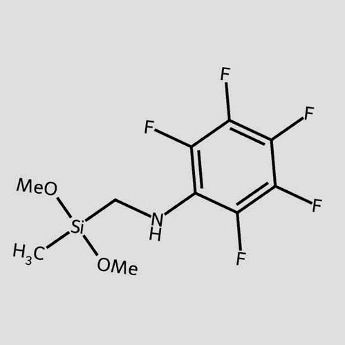 CO[Si](C)(CNc1c(F)c(F)c(F)c(F)c1F)OC